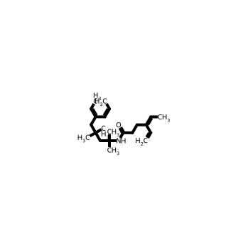 C=C/C(=C\C)CCC(=O)NC(C)(C)CC(C)(C)CC(/C=C\C)=C/C